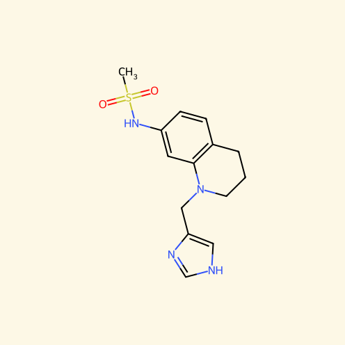 CS(=O)(=O)Nc1ccc2c(c1)N(Cc1c[nH]cn1)CCC2